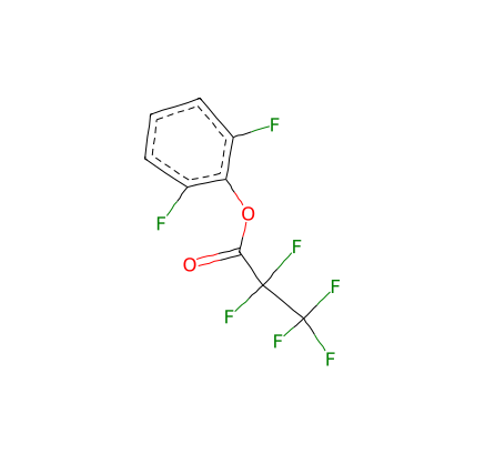 O=C(Oc1c(F)cccc1F)C(F)(F)C(F)(F)F